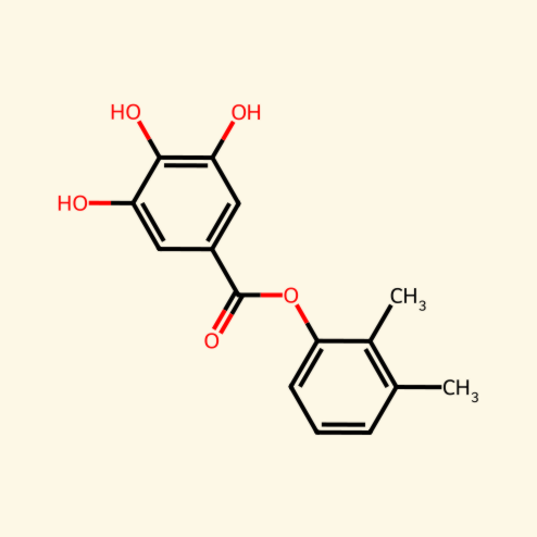 Cc1cccc(OC(=O)c2cc(O)c(O)c(O)c2)c1C